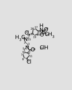 CN(CCN1Cc2ccc(Cl)cc2C1=O)CC(=O)c1ccc(NS(C)(=O)=O)cc1.Cl